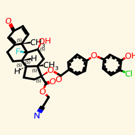 C[C@]12C=CC(=O)C=C1CC[C@H]1[C@@H]3CC[C@@](OC(=O)c4ccc(Oc5ccc(Cl)c(O)c5)cc4)(C(=O)OCC#N)[C@@]3(C)C[C@H](O)C12F